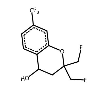 OC1CC(CF)(CF)Oc2cc(C(F)(F)F)ccc21